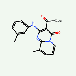 COC(=O)c1c(Nc2cccc(C)c2)nc2c(C)cccn2c1=O